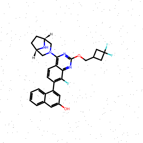 Oc1cc(-c2ccc3c(N4C[C@H]5CC[C@@H](C4)N5)nc(OCC4CC(F)(F)C4)nc3c2F)c2ccccc2c1